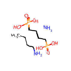 CCCCN.N.O=P(O)(O)CCCCP(=O)(O)O